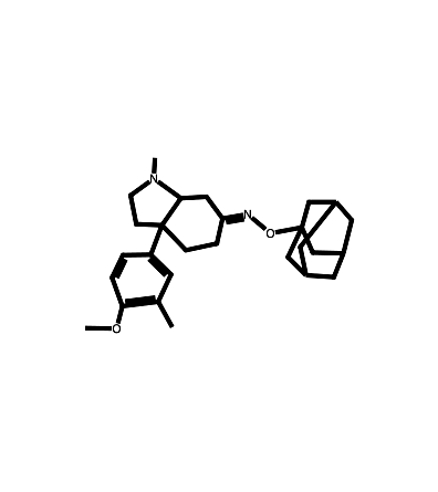 COc1ccc(C23CCC(=NOC45CC6CC(CC(C6)C4)C5)CC2N(C)CC3)cc1C